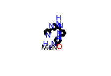 CNC(=O)C1(N)CCN(c2cccc(-c3n[nH]c4cnc(-c5cccnc5)cc34)n2)CC1